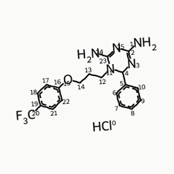 Cl.NC1=NC(c2ccccc2)N(CCCOc2ccc(C(F)(F)F)cc2)C(N)=N1